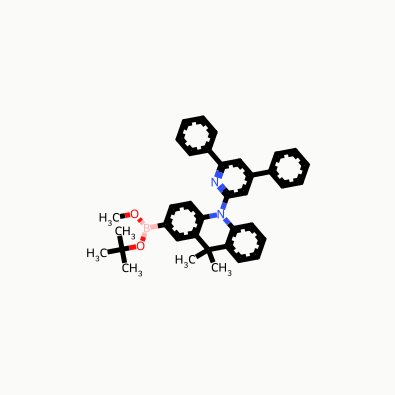 COB(OC(C)(C)C)c1ccc2c(c1)C(C)(C)c1ccccc1N2c1cc(-c2ccccc2)cc(-c2ccccc2)n1